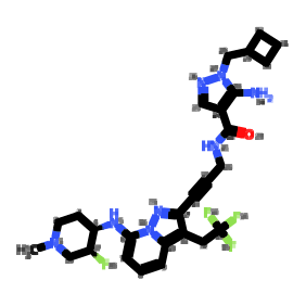 CN1CC[C@@H](Nc2cccc3c(CC(F)(F)F)c(C#CCNC(=O)c4cnn(CC5CCC5)c4N)nn23)[C@@H](F)C1